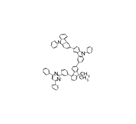 CC1(C)c2cc(-c3ccc4c(c3)c3cc(-c5ccc6c(c5)c5ccccc5n6-c5ccccc5)ccc3n4-c3ccccc3)ccc2-c2c(-c3cccc(-c4nc(-c5ccccc5)cc(-c5ccccc5)n4)c3)cccc21